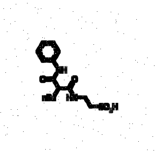 CCCCC(C(=O)NCCS(=O)(=O)O)C(=O)Nc1ccccc1